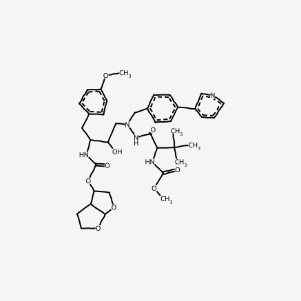 COC(=O)NC(C(=O)NN(Cc1ccc(-c2cccnc2)cc1)CC(O)C(Cc1ccc(OC)cc1)NC(=O)OC1COC2OCCC12)C(C)(C)C